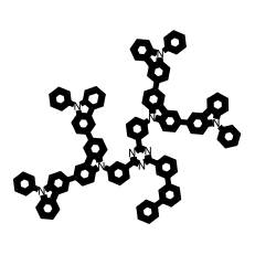 C1=CC2c3cc(-c4ccc5c(c4)c4cc(-c6ccc7c(c6)c6ccccc6n7-c6ccccc6)ccc4n5-c4cccc(-c5nc(-c6cccc(-c7cccc(-c8ccccc8)c7)c6)nc(-c6cccc(-n7c8ccc(-c9ccc%10c(c9)c9ccccc9n%10-c9ccccc9)cc8c8cc(-c9ccc%10c(c9)c9ccccc9n%10-c9ccccc9)ccc87)c6)n5)c4)ccc3N(c3ccccc3)C2C=C1